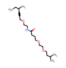 CCC(C)C#CCOCCNC(=O)CCCOCCOCCC(C)C